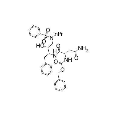 CCCN(C[C@@H](O)[C@H](Cc1ccccc1)NC(=O)[C@H](CC(N)=O)NC(=O)OCc1ccccc1)S(=O)(=O)c1ccccc1